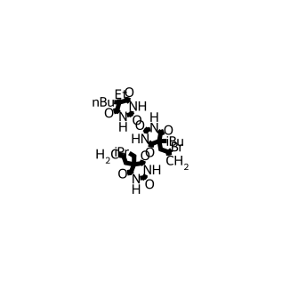 C=C(Br)CC1(C(C)CC)C(=O)NC(=O)NC1=O.C=CCC1(CC(C)C)C(=O)NC(=O)NC1=O.CCCCC1(CC)C(=O)NC(=O)NC1=O